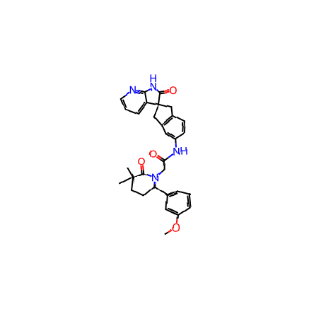 COc1cccc(C2CCC(C)(C)C(=O)N2CC(=O)Nc2ccc3c(c2)CC2(C3)C(=O)Nc3ncccc32)c1